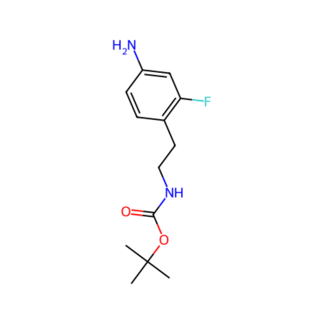 CC(C)(C)OC(=O)NCCc1ccc(N)cc1F